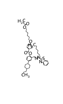 C=CC(=O)OCCCCCCOc1ccc(C(=O)Oc2ccc(C3CCC(CCC)CC3)cc2/C=N/N(CCCCCC)c2nc3ccccc3s2)cc1